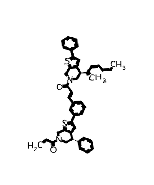 C=CC(=O)N1Cc2sc(-c3cccc(/C=C/C(=O)N4Cc5sc(-c6ccccc6)cc5[C@@H](C(=C)/C=C\C=C/C)C4)c3)cc2[C@H](c2ccccc2)C1